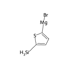 [SiH3]c1cc[c]([Mg][Br])s1